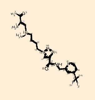 NC(=O)/C(N)=C/N(N)CCCCn1cc(C(=O)NCc2cc(C(F)(F)F)ccn2)nn1